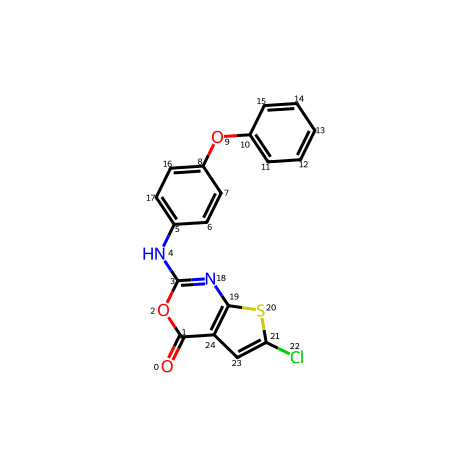 O=c1oc(Nc2ccc(Oc3ccccc3)cc2)nc2sc(Cl)cc12